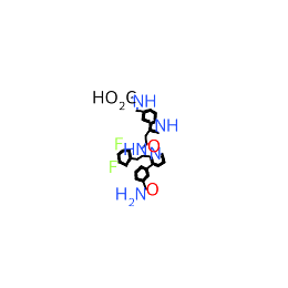 NC(=O)c1cccc(-c2cccnc2C(Cc2cc(F)cc(F)c2)NC(=O)Cc2c[nH]c3ccc(CNC(=O)O)cc23)c1